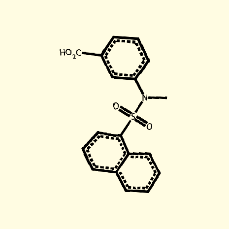 CN(c1cccc(C(=O)O)c1)S(=O)(=O)c1cccc2ccccc12